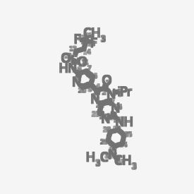 CC(C)n1c(=O)c(-c2ccc(NS(=O)(=O)CCC(C)(F)F)nc2)nc2cnc(N[C@H]3CC[C@H](N(C)C)CC3)nc21